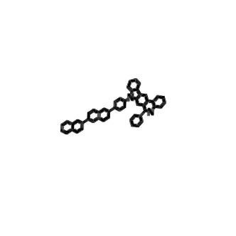 c1ccc(-c2nc3ccccc3c3cc4c5ccccc5n(-c5ccc(-c6ccc7cc(-c8ccc9ccccc9c8)ccc7c6)cc5)c4cc23)cc1